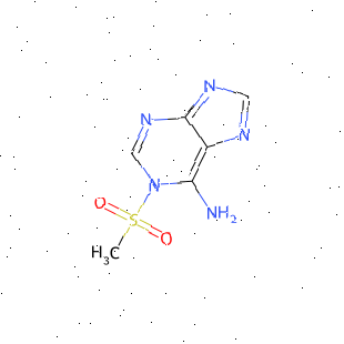 CS(=O)(=O)n1cnc2ncnc-2c1N